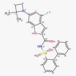 CC1(C)CCN1c1cc(F)c2cc(C(=O)NS(=O)(=O)c3ccccc3-c3ccccc3)oc2c1